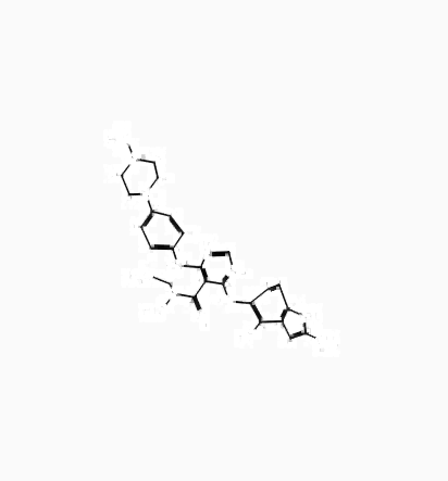 CCN(C)C(=O)c1c(Nc2ccc(N3CCN(C)CC3)cc2)ncnc1Oc1ccc2[nH]c(C)cc2c1F